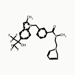 Cc1cc2cc(C(O)(C(F)(F)F)C(F)(F)F)ccc2n1Cc1cccc(C(=O)N(C)CCN2C=CC=CC2)c1